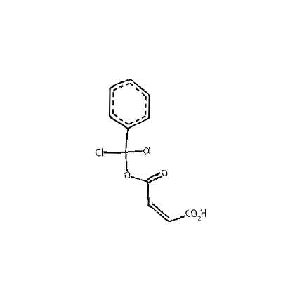 O=C(O)/C=C\C(=O)OC(Cl)(Cl)c1ccccc1